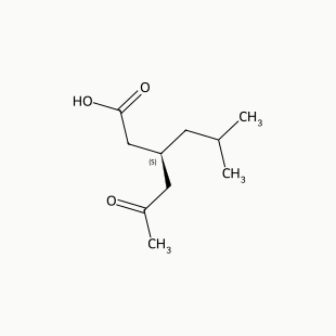 CC(=O)C[C@@H](CC(=O)O)CC(C)C